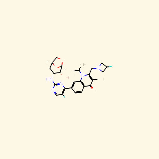 Cc1c(CN2CC(F)C2)n(C(C)C)c2cc(-c3nc(N[C@@H]4C[C@H]5CO[C@H](O5)[C@H]4O)ncc3F)ccc2c1=O